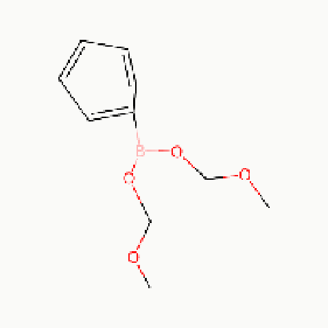 COCOB(OCOC)c1ccccc1